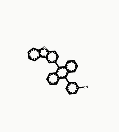 N#Cc1cccc(-c2c3ccccc3c(-c3ccc4oc5ccccc5c4c3)c3ccccc23)c1